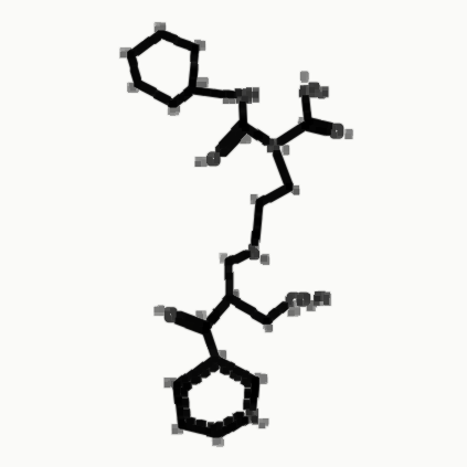 CCCCC(=O)N(CCSCC(CC(=O)OCC)C(=O)c1cccnc1)C(=O)NC1CCCCC1